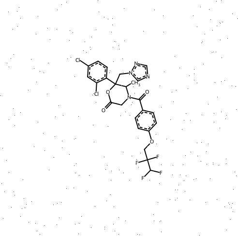 CC1N(C(=O)c2ccc(OCC(F)(F)C(F)F)cc2)CC(=O)OC1(Cn1cncn1)c1ccc(Cl)cc1Cl